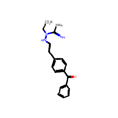 CNC(=N)N(CC(=O)O)NCCc1ccc(C(=O)c2ccccc2)cc1